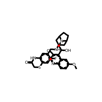 COc1ccc2ncc(Cl)c(C(O)CN3C4CCC3CC(NCc3cc5c(cc3F)SCC(=O)N5)C4)c2c1